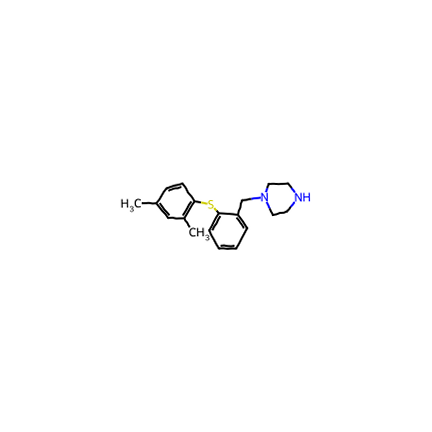 Cc1ccc(Sc2ccccc2CN2CCNCC2)c(C)c1